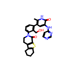 Cc1[nH]c(=O)c(Nc2ccncn2)cc1-c1cccc(N2CCc3c(sc4c3CCCC4)C2=O)c1CO